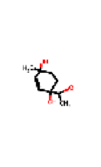 CC(O)C1(O)C=CC(C)(O)CC1